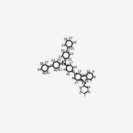 C1=CCCC(n2c3ccccc3c3cc(-c4ccc(N(c5ccc(-c6ccccc6)cc5)c5ccc(-c6ccccc6)cc5)cc4)ccc32)=C1